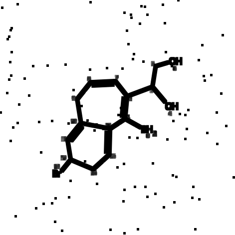 BC1=C(C(O)CO)C=CCC2=CC(Br)CC=C21